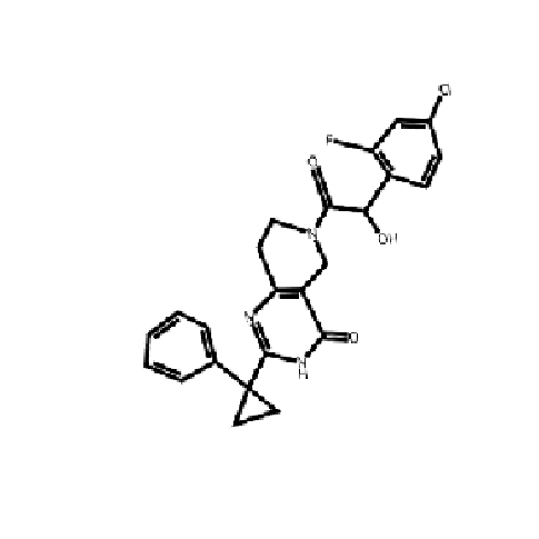 O=C(C(O)c1ccc(Cl)cc1F)N1CCc2nc(C3(c4ccccc4)CC3)[nH]c(=O)c2C1